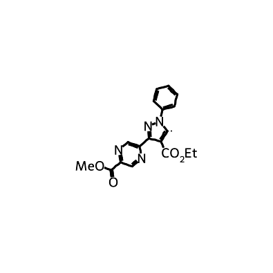 CCOC(=O)c1[c]n(-c2ccccc2)nc1-c1cnc(C(=O)OC)cn1